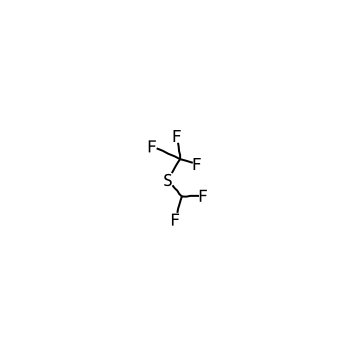 FC(F)SC(F)(F)F